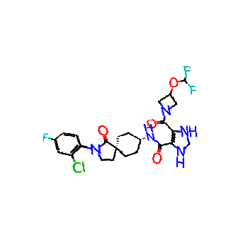 O=C(N[C@H]1CC[C@@]2(CCN(c3ccc(F)cc3Cl)C2=O)CC1)C1=C(C(=O)N2CC(OC(F)F)C2)NCN1